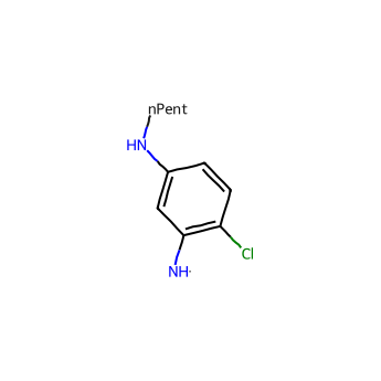 CCCCCNc1ccc(Cl)c([NH])c1